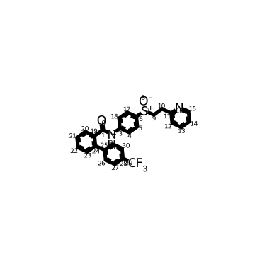 O=C(Nc1ccc([S+]([O-])CCc2ccccn2)cc1)c1ccccc1-c1ccc(C(F)(F)F)cc1